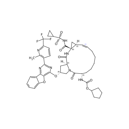 Cc1nc(C(F)(F)F)ccc1-c1nc(O[C@@H]2C[C@H]3C(=O)N[C@]4(C(=O)NS(=O)(=O)C5CC5)C[C@H]4/C=C\CCCCC[C@H](NC(=O)OC4CCCC4)C(=O)N3C2)c2oc3ccccc3c2n1